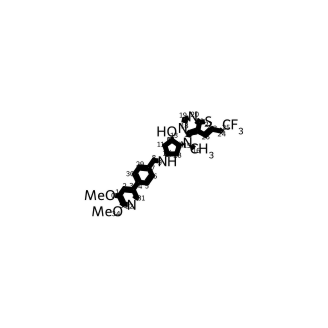 COc1cc(-c2ccc(CN[C@H]3C[C@@H](O)[C@@H](N(C)c4ncnc5sc(CC(F)(F)F)cc45)C3)cc2)cnc1OC